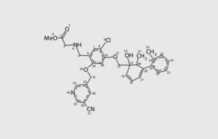 COC(=O)CNCc1cc(Cl)c(OCC2(O)C=CC=C(c3ccccc3C)C2C)cc1OCc1cncc(C#N)c1